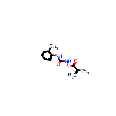 C=C(C)C(=O)ONC(=O)Nc1ccccc1C